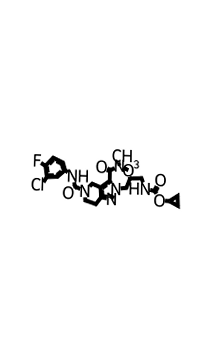 CN1OC(CNC(=O)OC2CC2)Cn2nc3c(c2C1=O)CN(C(=O)Nc1ccc(F)c(Cl)c1)CC3